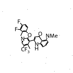 CNc1cccc2[nH]c(-c3c(Oc4ccc(F)c(F)c4C)ncc(C(F)(F)F)c3C)cc(=O)c12